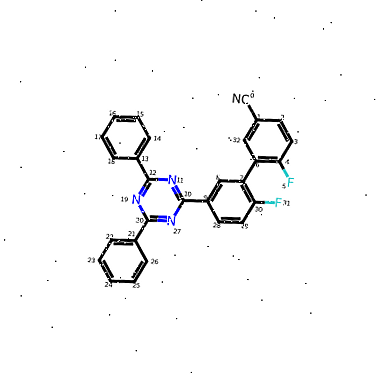 N#Cc1ccc(F)c(-c2cc(-c3nc(-c4ccccc4)nc(-c4ccccc4)n3)ccc2F)c1